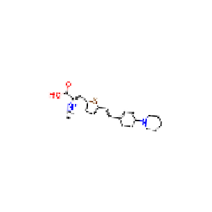 [C-]#[N+]/C(=C\c1ccc(/C=C/c2ccc(N3CCCCC3)cc2)s1)C(=O)O